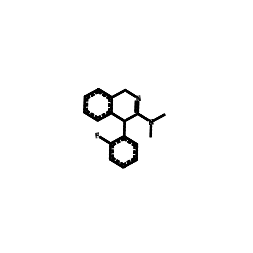 CN(C)C1=NCc2ccccc2C1c1ccccc1F